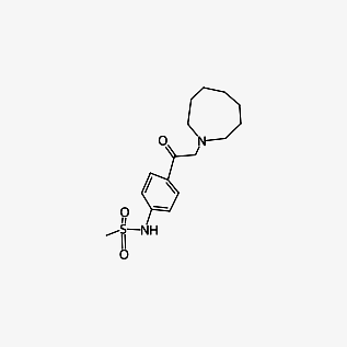 CS(=O)(=O)Nc1ccc(C(=O)CN2CCCCCCC2)cc1